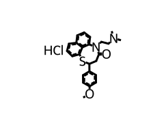 COc1ccc(C2CC(=O)N(CCN(C)C)c3cccc4cccc(c34)S2)cc1.Cl